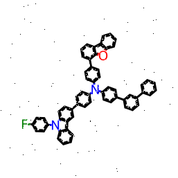 Fc1ccc(-n2c3ccccc3c3cc(-c4ccc(N(c5ccc(-c6cccc(-c7ccccc7)c6)cc5)c5ccc(-c6cccc7c6oc6ccccc67)cc5)cc4)ccc32)cc1